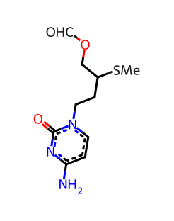 CSC(CCn1ccc(N)nc1=O)COC=O